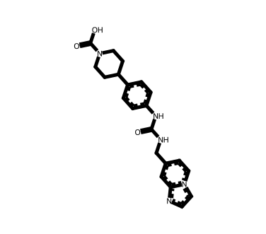 O=C(NCc1ccn2ccnc2c1)Nc1ccc(C2CCN(C(=O)O)CC2)cc1